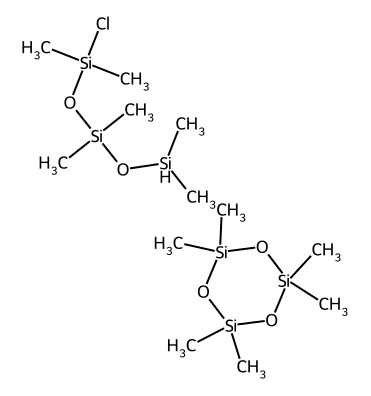 C[SiH](C)O[Si](C)(C)O[Si](C)(C)Cl.C[Si]1(C)O[Si](C)(C)O[Si](C)(C)O1